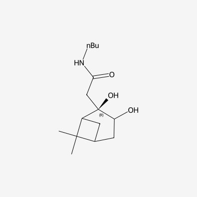 CCCCNC(=O)C[C@]1(O)C(O)CC2CC1C2(C)C